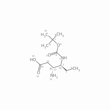 CC[C@H](NC(=O)OC(C)(C)C)[C@H](N)CC(=O)O